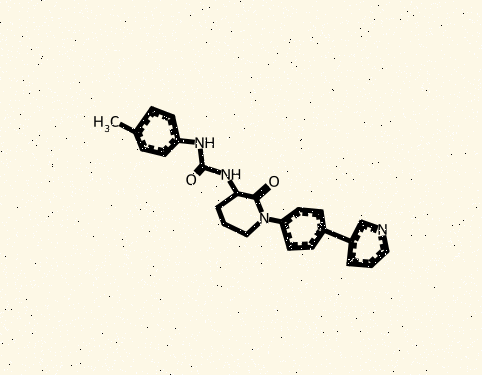 Cc1ccc(NC(=O)NC2CCCN(c3ccc(-c4cccnc4)cc3)C2=O)cc1